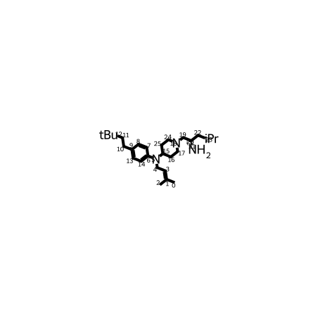 CC(C)=CCN(c1ccc(CCC(C)(C)C)cc1)C1CCN(C[C@@H](N)CC(C)C)CC1